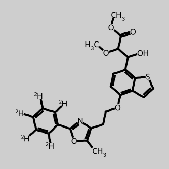 [2H]c1c([2H])c([2H])c(-c2nc(CCOc3ccc(C(O)C(OC)C(=O)OC)c4sccc34)c(C)o2)c([2H])c1[2H]